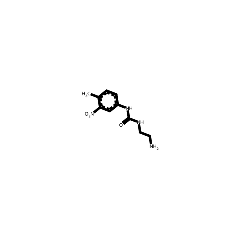 Cc1ccc(NC(=O)NCCN)cc1[N+](=O)[O-]